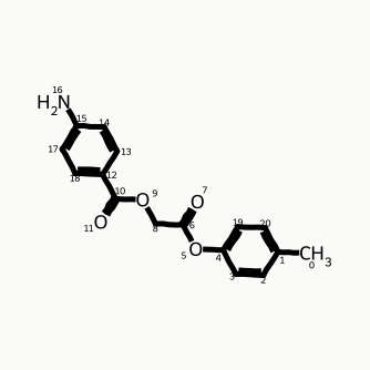 Cc1ccc(OC(=O)COC(=O)c2ccc(N)cc2)cc1